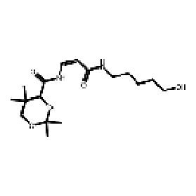 CC1(C)OCC(C)(C)C(C(=O)N/C=C\C(=O)NCCCCCO)O1